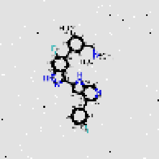 Cc1cc(CN(C)C)cc(-c2cc3c(-c4cc5c(-c6cccc(F)c6)cncc5[nH]4)n[nH]c3cc2F)c1